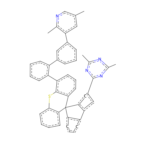 Cc1cnc(C)c(-c2cccc(-c3ccccc3-c3cccc4c3Sc3ccccc3C43c4ccccc4-c4ccc(-c5nc(C)nc(C)n5)cc43)c2)c1